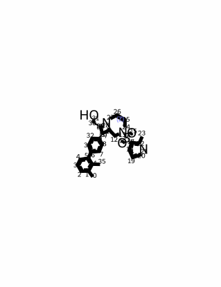 Cc1cccc(-c2ccc([C@H]3C4CN(S(=O)(=O)c5cccnc5C)C/C=C\CN4[C@@H]3CO)cc2)c1C